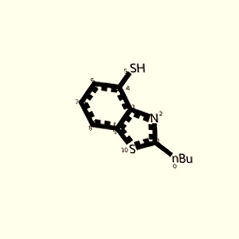 CCCCc1nc2c(S)cccc2s1